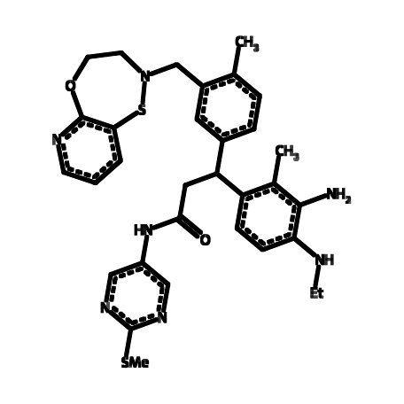 CCNc1ccc(C(CC(=O)Nc2cnc(SC)nc2)c2ccc(C)c(CN3CCOc4ncccc4S3)c2)c(C)c1N